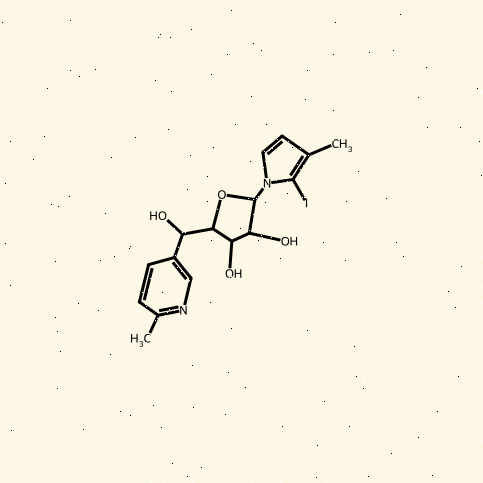 Cc1ccc(C(O)C2OC(n3ccc(C)c3I)C(O)C2O)cn1